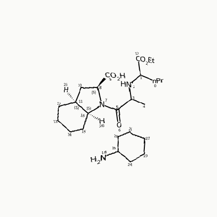 CCCC(NC(C)C(=O)N1[C@H](C(=O)O)C[C@@H]2CCCC[C@@H]21)C(=O)OCC.NC1CCCCC1